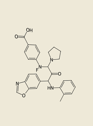 Cc1ccccc1NC(C(=O)C(N1CCCC1)N(F)c1ccc(C(=O)O)cc1)c1ccc2ncoc2c1